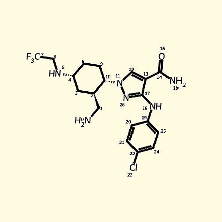 NC[C@H]1C[C@H](NCC(F)(F)F)CC[C@@H]1n1cc(C(N)=O)c(Nc2ccc(Cl)cc2)n1